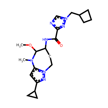 COC1C(NC(=O)c2ncn(CC3CCC3)n2)CCn2nc(C3CC3)cc2N1C